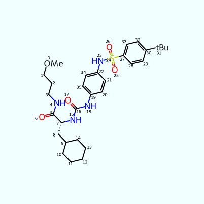 COCCCNC(=O)[C@@H](CC1CCCCC1)NC(=O)Nc1ccc(NS(=O)(=O)c2ccc(C(C)(C)C)cc2)cc1